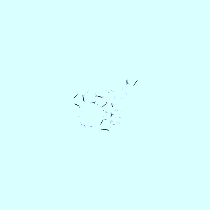 C=CC(=O)N1CCN(c2nc(=O)n3c4nc(c(F)cc24)-c2c(F)cccc2OCCCCC2=C3C(CCC)N(C)C=C2)[C@@H](C)C1